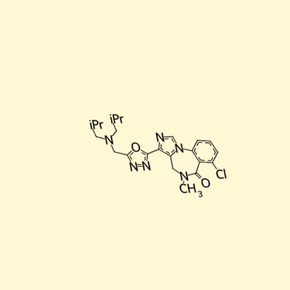 CC(C)CN(Cc1nnc(-c2ncn3c2CN(C)C(=O)c2c(Cl)cccc2-3)o1)CC(C)C